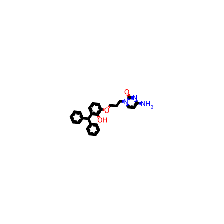 Nc1ccn(CCCOc2cccc(C(c3ccccc3)c3ccccc3)c2O)c(=O)n1